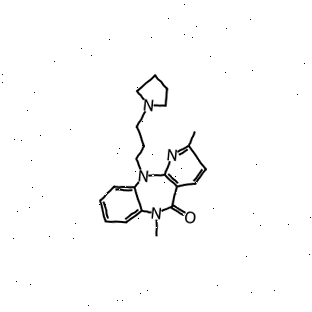 Cc1ccc2c(n1)N(CCCN1CCCC1)c1ccccc1N(C)C2=O